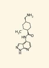 C[C@@H]1C[C@@H](CN)CC[C@H]1C(=O)Nc1ccnc2[nH]ncc12